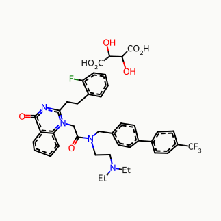 CCN(CC)CCN(Cc1ccc(-c2ccc(C(F)(F)F)cc2)cc1)C(=O)Cn1c(CCc2ccccc2F)nc(=O)c2ccccc21.O=C(O)C(O)C(O)C(=O)O